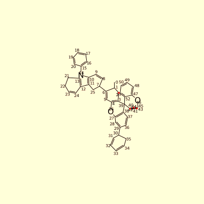 CC1CC2=C(C=C1C1C=Cc3c(c4c(n3-c3ccccc3)CCC=C4)C1)Oc1cc(C3C=CC=CC3)ccc1C21c2ccccc2Oc2ccccc21